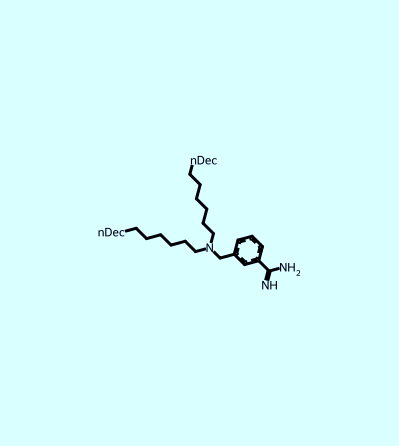 CCCCCCCCCCCCCCCCN(CCCCCCCCCCCCCCCC)Cc1cccc(C(=N)N)c1